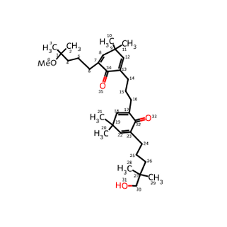 COC(C)(C)CCCC1=CC(C)(C)C=C(CCCC2=CC(C)(C)C=C(CCCC(C)(C)CO)C2=O)C1=O